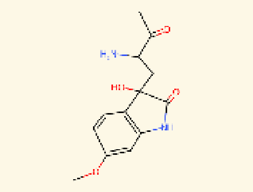 COc1ccc2c(c1)NC(=O)C2(O)CC(N)C(C)=O